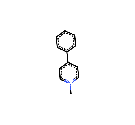 C[n+]1c[c]c(-c2ccccc2)cc1